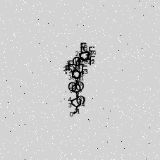 C=CC1CCC(C2COC(c3cc(F)c(C(F)(F)Oc4cc(F)c(F)c(F)c4)c(F)c3)OC2)OC1